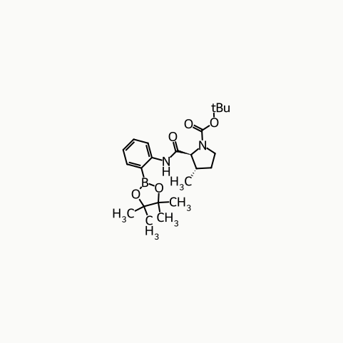 C[C@H]1CCN(C(=O)OC(C)(C)C)[C@@H]1C(=O)Nc1ccccc1B1OC(C)(C)C(C)(C)O1